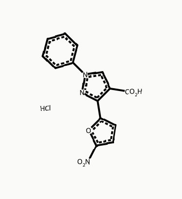 Cl.O=C(O)c1cn(-c2ccccc2)nc1-c1ccc([N+](=O)[O-])o1